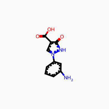 Nc1cccc(-n2cc(C(=O)O)c(=O)[nH]2)c1